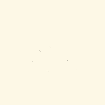 CC(O)(c1cncc(-c2nc3cc(F)c(F)cc3n2C2CC2)c1)C(F)(F)F